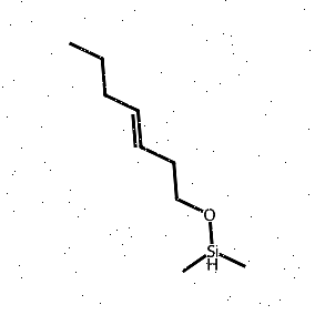 CCCC=CCCO[SiH](C)C